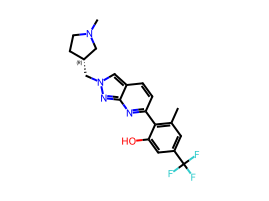 Cc1cc(C(F)(F)F)cc(O)c1-c1ccc2cn(C[C@@H]3CCN(C)C3)nc2n1